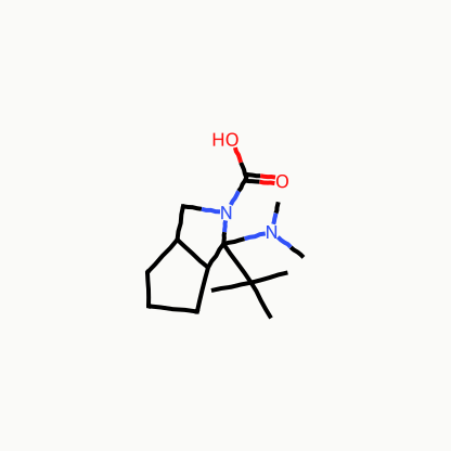 CN(C)C1(C(C)(C)C)C2CCCC2CN1C(=O)O